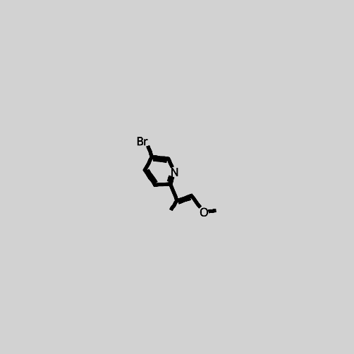 COC=C(C)c1ccc(Br)cn1